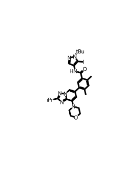 Cc1cc(C)c(-c2cc(N3CCOCC3)c3nc(C(C)C)nn3c2)cc1C(=O)Nc1cnn(C(C)(C)C)c1I